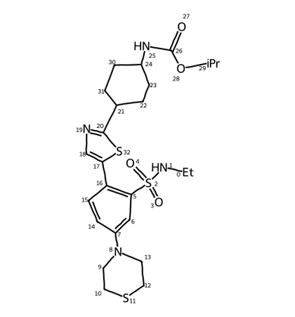 CCNS(=O)(=O)c1cc(N2CCSCC2)ccc1-c1cnc(C2CCC(NC(=O)OC(C)C)CC2)s1